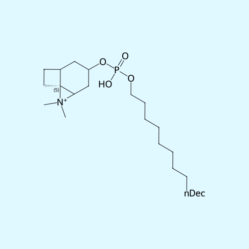 CCCCCCCCCCCCCCCCCCOP(=O)(O)OC1CC2CC[C@@]23C(C1)[N+]3(C)C